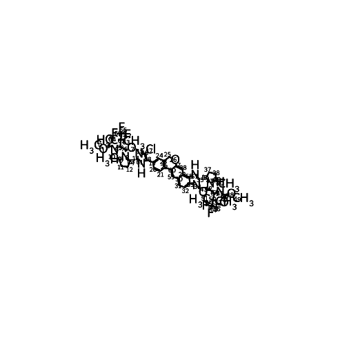 COC(=O)N[C@H](C(=O)N1[C@@H](C)CC[C@H]1c1nc(Cl)c(-c2ccc3c(c2)COc2cc4c(ccc5nc([C@@H]6CC[C@H](C)N6C(=O)[C@@H](NC(=O)OC)C(C)(C)C(F)(F)F)[nH]c54)cc2-3)[nH]1)C(C)(C)C(F)(F)F